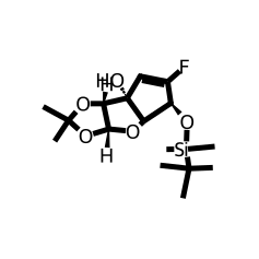 CC1(C)O[C@H]2OC3[C@H](O[Si](C)(C)C(C)(C)C)C(F)=C[C@]3(O)[C@H]2O1